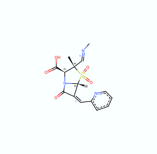 C/N=C/[C@@]1(C)[C@H](C(=O)O)N2C(=O)/C(=C/c3ccccn3)[C@H]2S1(=O)=O